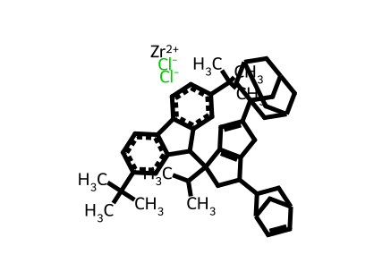 CC(C)C1(C2c3cc(C(C)(C)C)ccc3-c3ccc(C(C)(C)C)cc32)CC(C2CC3C=CC2C3)C2=C1C=C(C13CC4CC(CC(C4)C1)C3)C2.[Cl-].[Cl-].[Zr+2]